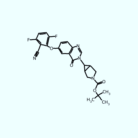 CC(C)(C)OC(=O)N1CC2C(C1)C2n1cnc2ccc(Oc3c(F)ccc(F)c3C#N)cc2c1=O